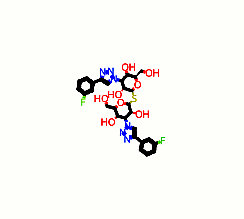 OCC1O[C@@H](S[C@@H]2O[C@H](CO)C(O)C(n3cc(-c4cccc(F)c4)nn3)[C@H]2O)[C@@H](O)C(n2cc(-c3cccc(F)c3)nn2)[C@H]1O